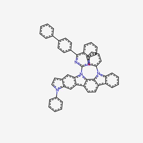 c1ccc(-c2ccc(-c3nc(-n4c5cc6ccn(-c7ccccc7)c6cc5c5ccc6c7ccccc7n(-c7ccccc7)c6c54)nc4ccccc34)cc2)cc1